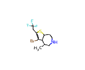 CC1CNCCC2SC(CC(F)(F)F)=C(Br)C12